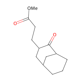 COC(=O)CCC1CC2CCCC(C2)C1=O